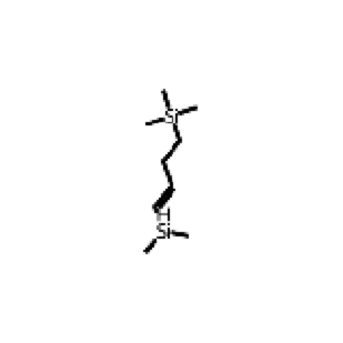 C[SiH](C)C=CCC[Si](C)(C)C